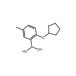 Cc1ccc(OC2CCCC2)c(B(O)O)c1